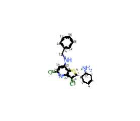 N[C@H]1CC=CC[C@@H]1c1sc2c(NCc3ccccc3)cc(Cl)nc2c1Cl